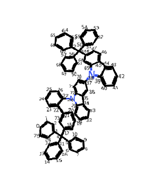 c1ccc(C(c2ccccc2)(c2ccccc2)c2cccc(-c3ccccc3-n3c4ccccc4c4cc(-n5c6ccccc6c6ccc(C(c7ccccc7)(c7ccccc7)c7ccccc7)cc65)ccc43)c2)cc1